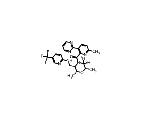 [2H]C1([2H])[C@@H](C)O[C@@H](C)[C@@H](CNc2ccc(C(F)(F)F)cn2)N1C(=O)c1nc(C)ccc1-c1ncccn1